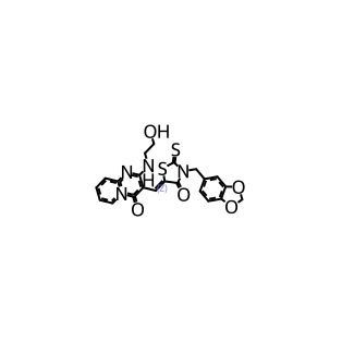 O=C1/C(=C/c2c(NCCO)nc3ccccn3c2=O)SC(=S)N1Cc1ccc2c(c1)OCO2